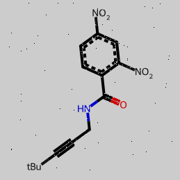 CC(C)(C)C#CCNC(=O)c1ccc([N+](=O)[O-])cc1[N+](=O)[O-]